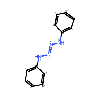 c1ccc(NN=NNc2ccccc2)cc1